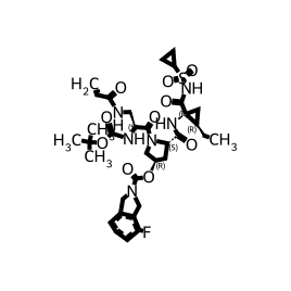 C=CC(=O)NC[C@H](NC(=O)OC(C)(C)C)C(=O)N1C[C@H](OC(=O)N2Cc3cccc(F)c3C2)C[C@H]1C(=O)N[C@]1(C(=O)NS(=O)(=O)C2CC2)C[C@H]1CC